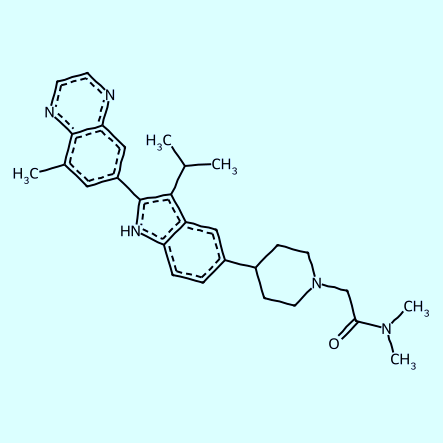 Cc1cc(-c2[nH]c3ccc(C4CCN(CC(=O)N(C)C)CC4)cc3c2C(C)C)cc2nccnc12